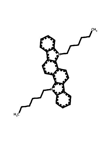 CCCCCCn1c2ccccc2c2ccc3c(ccc4c5ccccc5n(CCCCCC)c43)c21